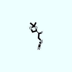 CC1(C)OC[C@H](C(F)CN=[N+]=[N-])O1